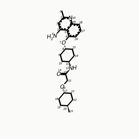 Cc1cc(N)c2c(O[C@H]3CC[C@H](NC(=O)CO[C@H]4CC[C@H](C)CC4)CC3)cccc2n1